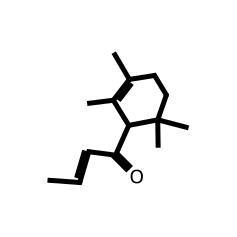 CC=CC(=O)C1C(C)=C(C)CCC1(C)C